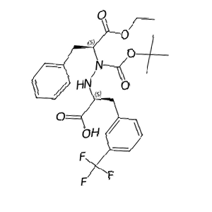 CCOC(=O)[C@H](Cc1ccccc1)N(N[C@@H](Cc1cccc(C(F)(F)F)c1)C(=O)O)C(=O)OC(C)(C)C